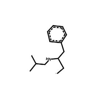 [CH2]CC(Cc1ccccc1)NCC(C)C